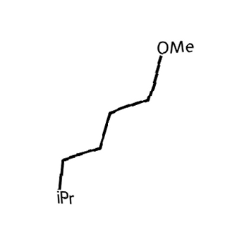 [CH2]C(C)CCCCOC